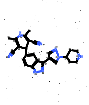 CC1=C(C#N)C(c2ccc3[nH]nc(-c4cnn(C5CCNCC5)c4)c3c2)C(C#N)=C(C)N1